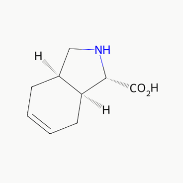 O=C(O)[C@H]1NC[C@@H]2CC=CC[C@@H]21